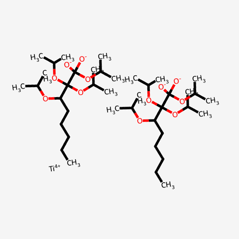 CCCCCC(OC(C)C)C(OC(C)C)(OC(C)C)C([O-])([O-])OC(C)C.CCCCCC(OC(C)C)C(OC(C)C)(OC(C)C)C([O-])([O-])OC(C)C.[Ti+4]